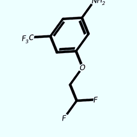 Nc1cc(OCC(F)F)cc(C(F)(F)F)c1